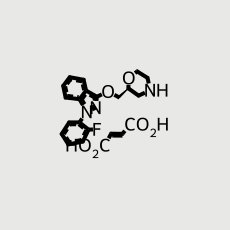 Fc1ccccc1-n1nc(OC[C@@H]2CNCCO2)c2ccccc21.O=C(O)C=CC(=O)O